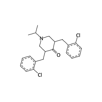 CC(C)N1CC(Cc2ccccc2Cl)C(=O)C(Cc2ccccc2Cl)C1